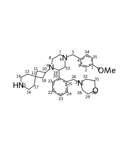 COc1ccc(CN2CCN(C3CC4(CCNCC4)C3)C(c3ccccc3CN3CCOCC3)C2)cc1